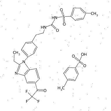 CCc1nc2cc(C(=O)C(F)(F)F)ccc2n1-c1ccc(CCNC(=O)NS(=O)(=O)c2ccc(C)cc2)cc1.Cc1ccc(S(=O)(=O)O)cc1